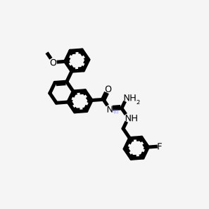 COc1ccccc1C1=CCCc2ccc(C(=O)/N=C(\N)NCc3cccc(F)c3)cc21